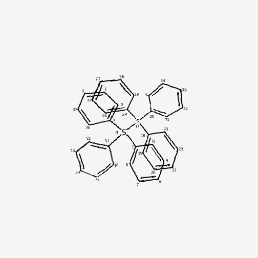 c1ccc(S(c2ccccc2)(c2ccccc2)S(c2ccccc2)(c2ccccc2)c2ccccc2)cc1